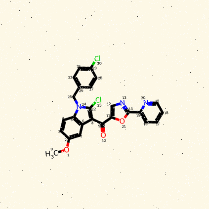 COc1ccc2c(c1)c(C(=O)c1cnc(-c3ccccn3)o1)c(Cl)n2Cc1ccc(Cl)cc1